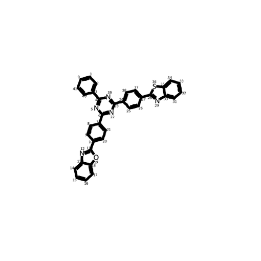 c1ccc(-c2nc(-c3ccc(-c4nc5ccccc5o4)cc3)nc(-c3ccc(-c4nc5ccccc5s4)cc3)n2)cc1